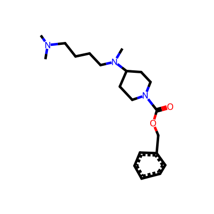 CN(C)CCCCN(C)C1CCN(C(=O)OCc2ccccc2)CC1